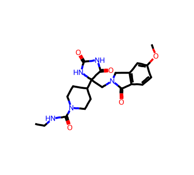 CCNC(=O)N1CCC(C2(CN3Cc4cc(OC)ccc4C3=O)NC(=O)NC2=O)CC1